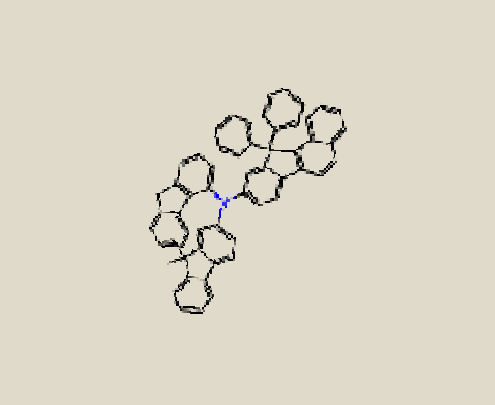 CC1(C)c2ccccc2-c2ccc(N(c3ccc4c(c3)C(c3ccccc3)(c3ccccc3)c3c-4ccc4ccccc34)c3cccc4c3-c3ccccc3C4)cc21